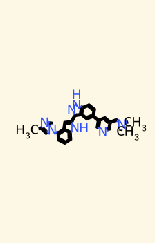 Cc1cn(-c2cccc3[nH]c(-c4n[nH]c5ccc(-c6cncc(CN(C)C)c6)cc45)cc23)cn1